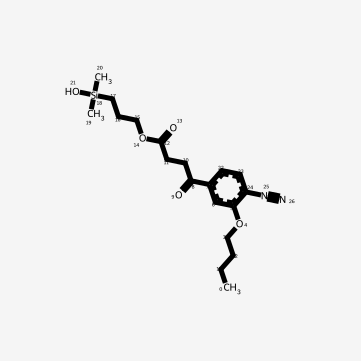 CCCCOc1cc(C(=O)CCC(=O)OCCC[Si](C)(C)O)ccc1[N+]#N